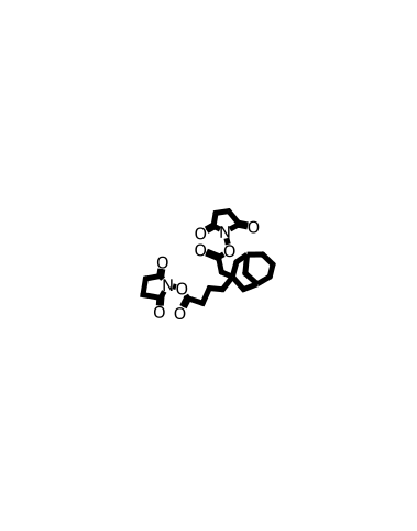 O=C(CCCC1(CC(=O)ON2C(=O)CCC2=O)CC2CCCC(C2)C1)ON1C(=O)CCC1=O